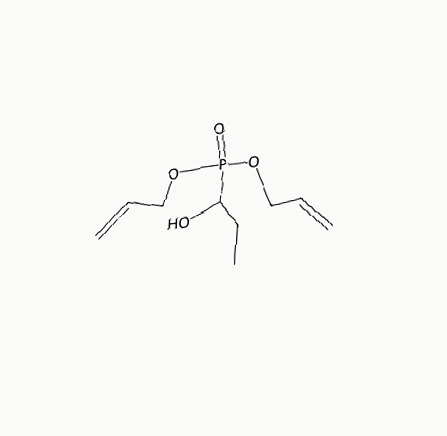 C=CCOP(=O)(OCC=C)C(O)CC